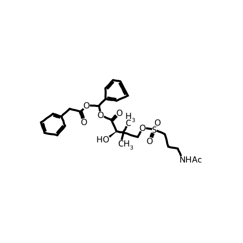 CC(=O)NCCCS(=O)(=O)OCC(C)(C)[C@@H](O)C(=O)OC(OC(=O)Cc1ccccc1)c1ccccc1